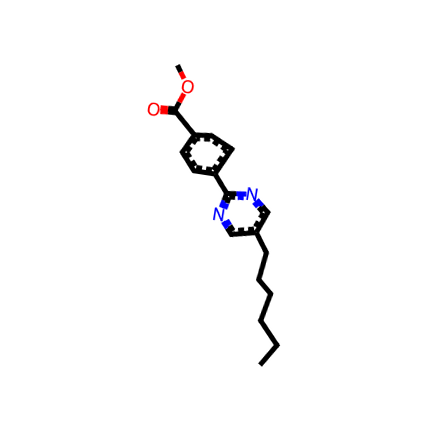 CCCCCCc1cnc(-c2ccc(C(=O)OC)cc2)nc1